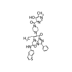 CCc1c(N2CCN(C(=O)c3ncnc(C)c3O)CC2)c(=O)n2nc(-c3ccccc3)nc2n1CC(=O)Nc1ccc2sccc2c1